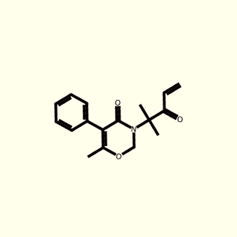 C=CC(=O)C(C)(C)N1COC(C)=C(c2ccccc2)C1=O